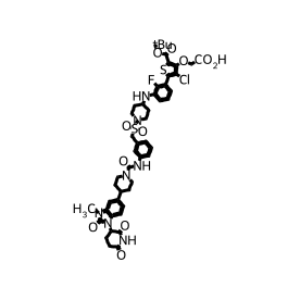 Cn1c(=O)n(C2CCC(=O)NC2=O)c2ccc(C3CCN(C(=O)Nc4cccc(CS(=O)(=O)N5CCC(Nc6cccc(-c7sc(C(=O)OC(C)(C)C)c(OCC(=O)O)c7Cl)c6F)CC5)c4)CC3)cc21